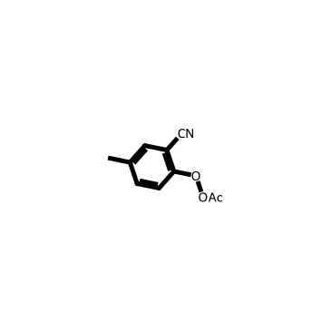 CC(=O)OOc1ccc(C)cc1C#N